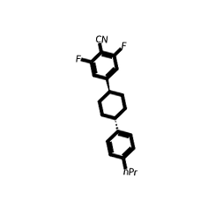 CCCc1ccc([C@H]2CC[C@H](c3cc(F)c(C#N)c(F)c3)CC2)cc1